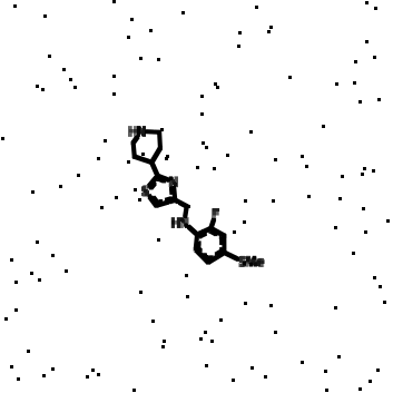 CSc1ccc(NCc2csc(C3CCNCC3)n2)c(F)c1